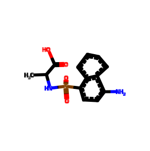 CC(NS(=O)(=O)c1ccc(N)c2ccccc12)C(=O)O